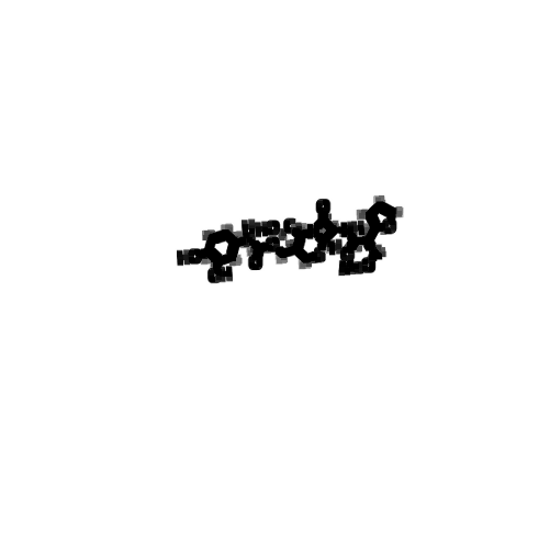 CO/N=C(\C(=O)N[C@@H]1C(=O)N2C(C(=O)O)=C(COC(=O)Nc3ccc(O)c(O)c3)CS[C@H]12)c1ccco1